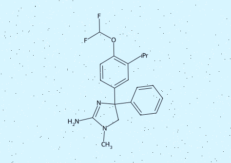 CC(C)c1cc(C2(c3ccccc3)CN(C)C(N)=N2)ccc1OC(F)F